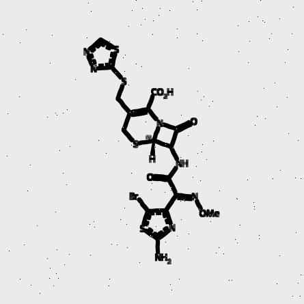 CON=C(C(=O)NC1C(=O)N2C(C(=O)O)=C(CSc3nncs3)CS[C@@H]12)c1nc(N)sc1Br